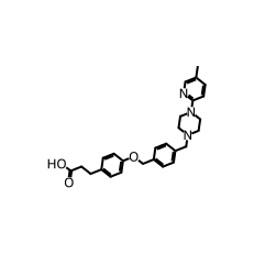 Cc1ccc(N2CCN(Cc3ccc(COc4ccc(CCC(=O)O)cc4)cc3)CC2)nc1